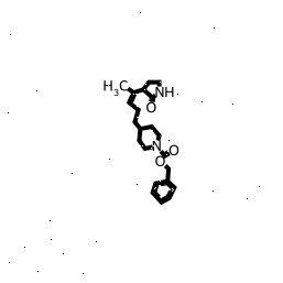 CC(=CCCC1CCN(C(=O)OCc2ccccc2)CC1)C1CCNC1=O